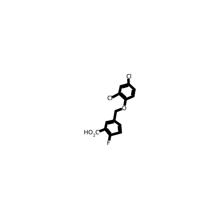 O=C(O)c1cc(COc2ccc(Cl)cc2Cl)ccc1F